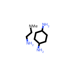 CNCCN.NC1CCC(N)CC1